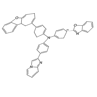 C1=C[C@H](c2nc3ccccc3o2)CC=C1N(C1=CC=C(C2=CCC=C3Oc4ccccc4C3C2)CC1)c1ccc(-c2cn3ccccc3n2)cc1